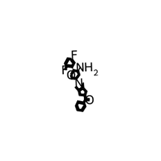 N[C@H]1C[C@@H](N2CC3=C(CC(C(=O)c4ccccc4)C3)C2)CO[C@@H]1c1cc(F)ccc1F